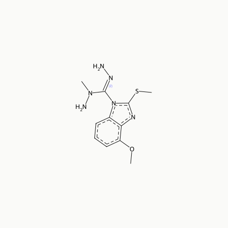 COc1cccc2c1nc(SC)n2/C(=N/N)N(C)N